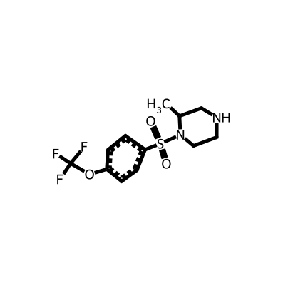 CC1CNCCN1S(=O)(=O)c1ccc(OC(F)(F)F)cc1